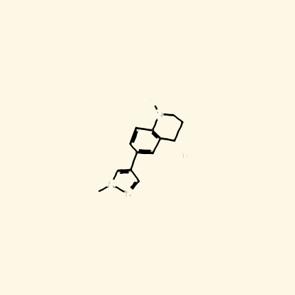 CCC[C@H]1CCN(C(C)C)c2ccc(-c3cnn(C)c3)cc21